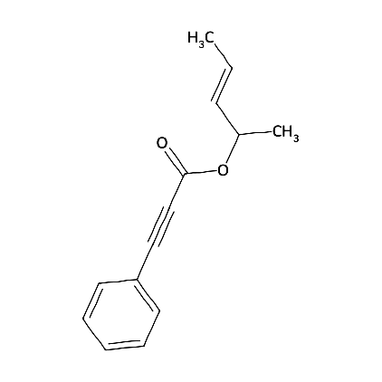 CC=CC(C)OC(=O)C#Cc1ccccc1